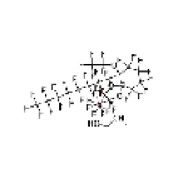 CCO.FC(F)(F)C(F)(F)OC1(C(F)(F)C(F)(F)C(F)(F)C(F)(F)C(F)(F)C(F)(F)C(F)(F)C(F)(F)F)C(F)(F)C(F)(F)C(F)(F)C(F)(F)[Si]1(OC(F)(F)C(F)(F)F)OC(F)(F)C(F)(F)F